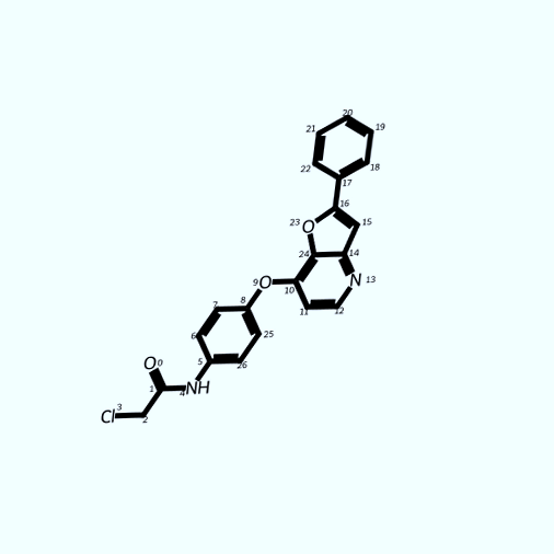 O=C(CCl)Nc1ccc(Oc2ccnc3cc(-c4ccccc4)oc23)cc1